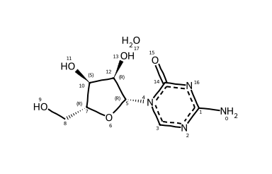 Nc1ncn([C@@H]2O[C@H](CO)[C@@H](O)[C@H]2O)c(=O)n1.O